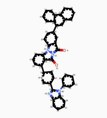 O=c1c2cc(-c3cc4ccccc4c4ccccc34)ccc2n2c3cccc(-c4ccc(-c5nc6ccccc6n5-c5ccccc5)cc4)c3c(=O)n12